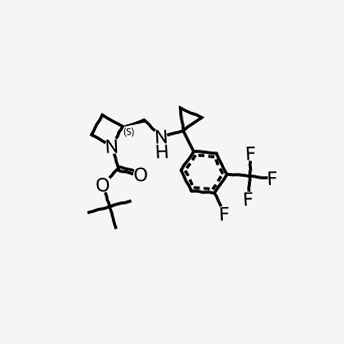 CC(C)(C)OC(=O)N1CC[C@H]1CNC1(c2ccc(F)c(C(F)(F)F)c2)CC1